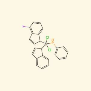 [Cl][Zr]([Cl])([PH]c1ccccc1)([CH]1C=Cc2ccccc21)[CH]1C=Cc2c(I)cccc21